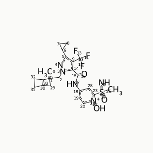 C[C@]1(Cn2nc(C3CC3)c(C(F)(F)F)c2C(=O)Nc2cc[n+](O)c(S(C)(=N)=O)c2)CC2CCC21